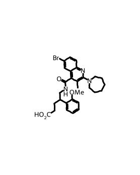 COc1ccccc1C(CCC(=O)O)CNC(=O)c1c(C)c(N2CCCCCC2)nc2ccc(Br)cc12